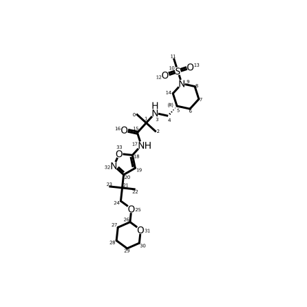 CC(C)(NC[C@H]1CCCN(S(C)(=O)=O)C1)C(=O)Nc1cc(C(C)(C)COC2CCCCO2)no1